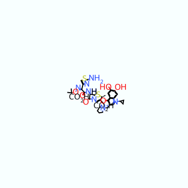 C[C@@H]1S[C@@H]2[C@H](NC(=O)/C(=N\OC(C)(C)C(=O)O)c3csc(N)n3)C(=O)N2C(C(=O)O)=C1C[N+]1(Cc2cn(C3CC3)c3cc(O)c(O)cc3c2=O)CCCC1